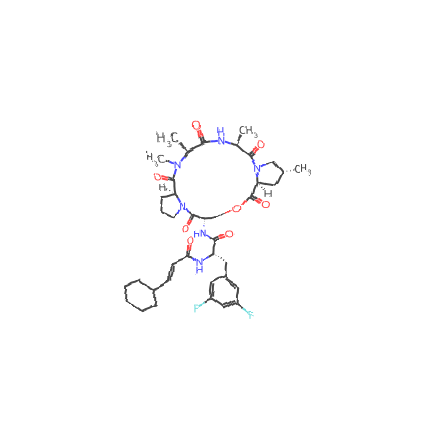 C[C@@H]1C[C@H]2C(=O)OC[C@H](NC(=O)[C@H](Cc3cc(F)cc(F)c3)NC(=O)/C=C/C3CCCCC3)C(=O)N3CCC[C@H]3C(=O)N(C)[C@@H](C)C(=O)N[C@@H](C)C(=O)N2C1